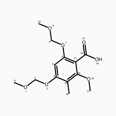 COCOc1cc(OCOC)c(C(=O)O)c(OC)c1C